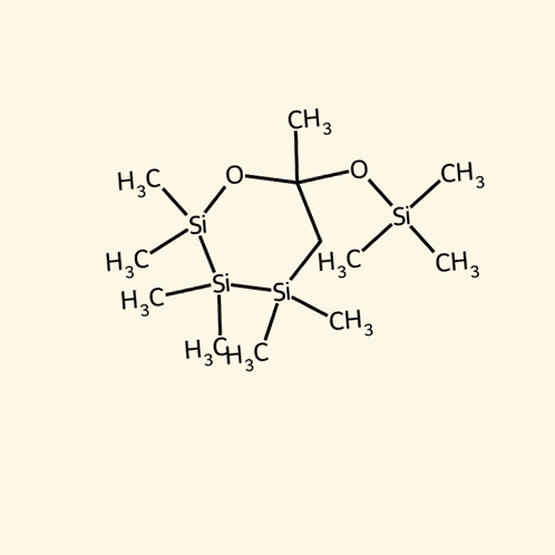 CC1(O[Si](C)(C)C)C[Si](C)(C)[Si](C)(C)[Si](C)(C)O1